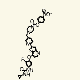 O=C(Nc1ccc(Oc2ccnc3cc(-c4ccc(CN5CCN(C(=O)Oc6ccc([N+](=O)[O-])cc6)CC5)cn4)sc23)c(F)c1)NC1CC1